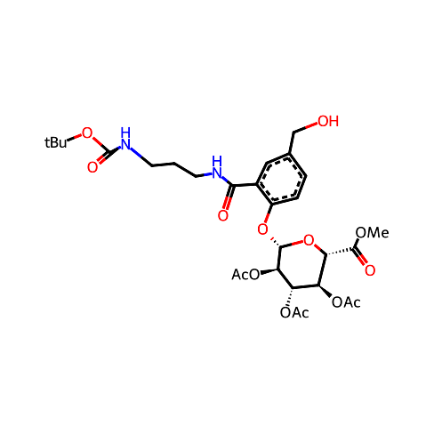 COC(=O)[C@H]1O[C@@H](Oc2ccc(CO)cc2C(=O)NCCCNC(=O)OC(C)(C)C)[C@H](OC(C)=O)[C@@H](OC(C)=O)[C@@H]1OC(C)=O